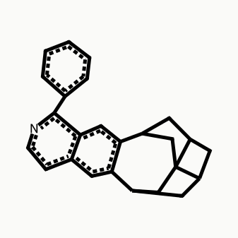 c1ccc(-c2nccc3cc4c(cc23)C2CC3CC5CC4CC53C2)cc1